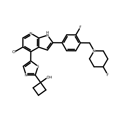 OC1(c2ncc(-c3c(Cl)cnc4[nH]c(-c5ccc(CN6CCC(F)CC6)c(F)c5)cc34)s2)CCC1